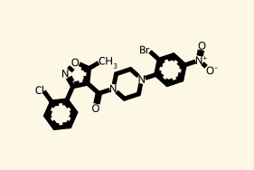 Cc1onc(-c2ccccc2Cl)c1C(=O)N1CCN(c2ccc([N+](=O)[O-])cc2Br)CC1